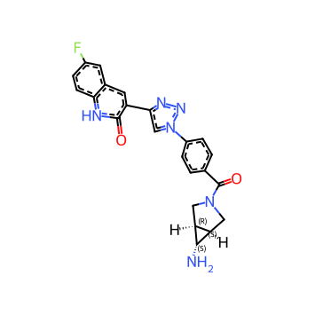 N[C@@H]1[C@H]2CN(C(=O)c3ccc(-n4cc(-c5cc6cc(F)ccc6[nH]c5=O)nn4)cc3)C[C@@H]12